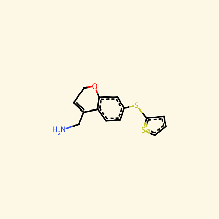 NCC1=CCOc2cc(Sc3cccs3)ccc21